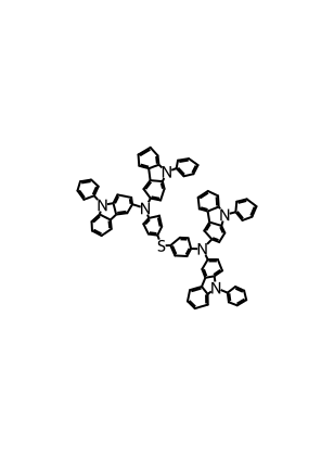 c1ccc(-n2c3ccccc3c3cc(N(c4ccc(Sc5ccc(N(c6ccc7c(c6)c6ccccc6n7-c6ccccc6)c6ccc7c(c6)c6ccccc6n7-c6ccccc6)cc5)cc4)c4ccc5c(c4)c4ccccc4n5-c4ccccc4)ccc32)cc1